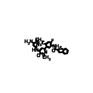 Cc1cc(F)c(NC(=O)c2cc3ccccc3s2)cc1-c1cc(Nc2cc(N)n(C)n2)c(=O)n(C)n1